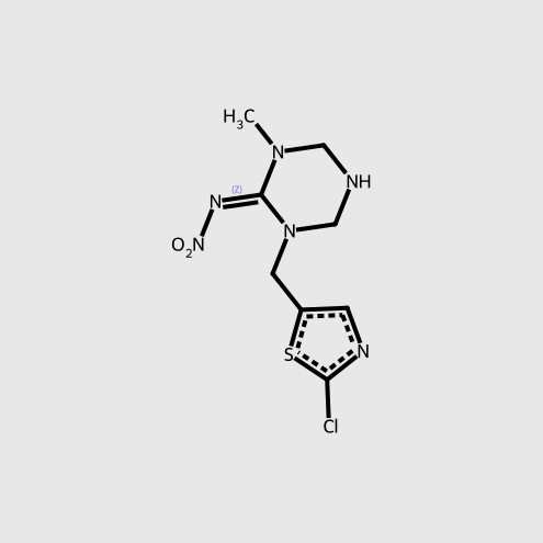 CN1CNCN(Cc2cnc(Cl)s2)/C1=N\[N+](=O)[O-]